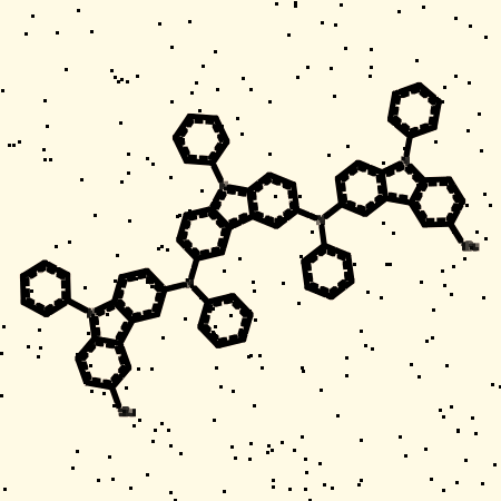 CC(C)(C)c1ccc2c(c1)c1cc(N(c3ccccc3)c3ccc4c(c3)c3cc(N(c5ccccc5)c5ccc6c(c5)c5cc(C(C)(C)C)ccc5n6-c5ccccc5)ccc3n4-c3ccccc3)ccc1n2-c1ccccc1